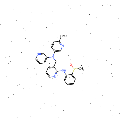 COc1ccc(N(Cc2cccnc2Nc2ccccc2[S+](C)[O-])c2cccnc2)cn1